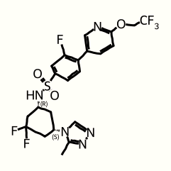 Cc1nncn1[C@H]1C[C@@H](NS(=O)(=O)c2ccc(-c3ccc(OCC(F)(F)F)nc3)c(F)c2)CC(F)(F)C1